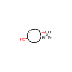 CC[Si](CC)(CC)OC1CCCCCC(O)CCCCC1